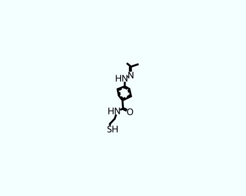 CC(C)=NNc1ccc(C(=O)NCCS)cc1